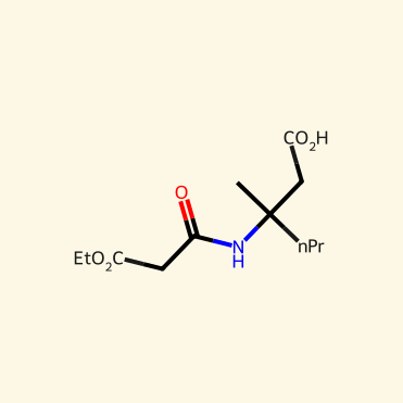 CCCC(C)(CC(=O)O)NC(=O)CC(=O)OCC